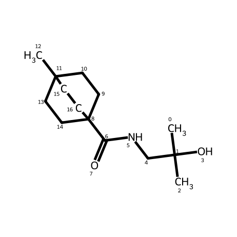 CC(C)(O)CNC(=O)C12CCC(C)(CC1)CC2